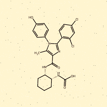 Cc1c(C(=O)N[C@H]2CCCC[C@H]2NC(=O)O)nc(-c2ccc(Cl)cc2Cl)n1-c1ccc(O)cc1